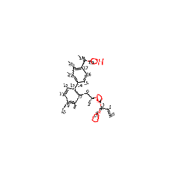 C=CC(=O)OCCc1cc(C)ccc1-c1ccc(CO)cc1